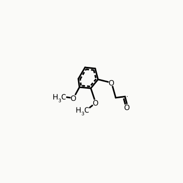 COc1cccc(OC[C]=O)c1OC